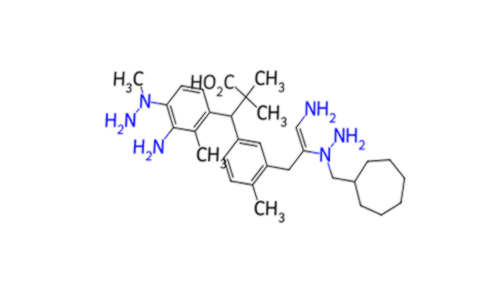 Cc1ccc(C(c2ccc(N(C)N)c(N)c2C)C(C)(C)C(=O)O)cc1C/C(=C/N)N(N)CC1CCCCCC1